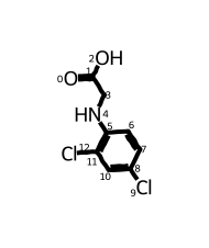 O=C(O)CNc1ccc(Cl)cc1Cl